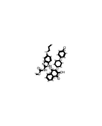 CCCSc1ccc2[nH]c(NC(=O)OC)nc2c1.O=C1C(O)=C([C@H]2CC[C@H](c3ccc(Cl)cc3)CC2)C(=O)c2ccccc21